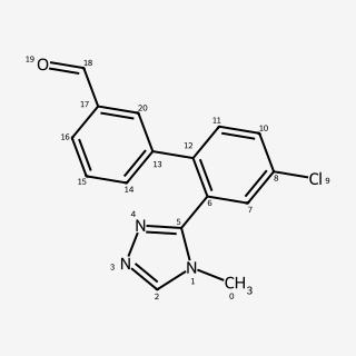 Cn1cnnc1-c1cc(Cl)ccc1-c1cccc(C=O)c1